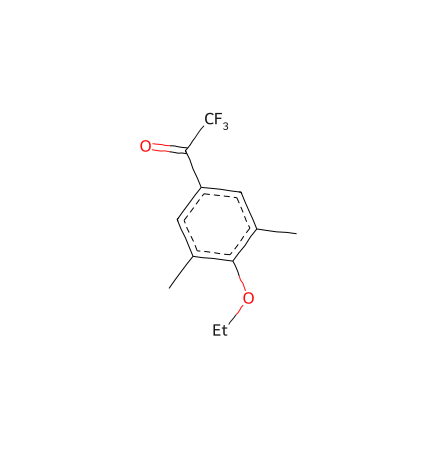 CCOc1c(C)cc(C(=O)C(F)(F)F)cc1C